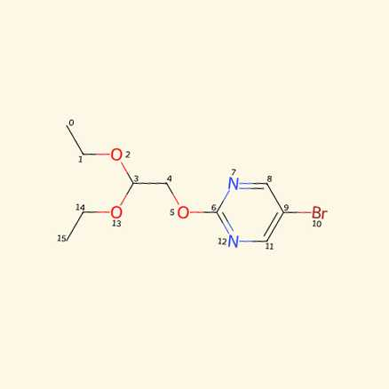 CCOC(COc1ncc(Br)cn1)OCC